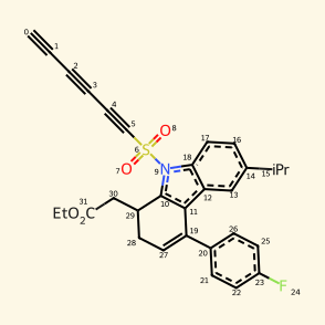 C#CC#CC#CS(=O)(=O)n1c2c(c3cc(C(C)C)ccc31)C(c1ccc(F)cc1)=CCC2CC(=O)OCC